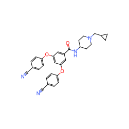 N#Cc1ccc(Oc2cc(Oc3ccc(C#N)cc3)cc(C(=O)NC3CCN(CC4CC4)CC3)c2)cc1